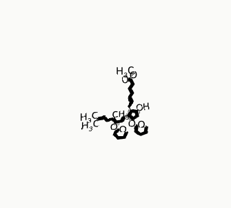 COC(=O)CCCC=CC[C@@H]1[C@@H](C=C[C@H](OC2CCCCO2)C(C)CC=C(C)C)[C@H](OC2CCCCO2)C[C@H]1O